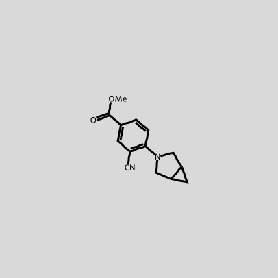 COC(=O)c1ccc(N2CC3CC3C2)c(C#N)c1